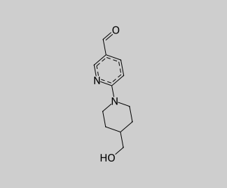 O=Cc1ccc(N2CCC(CO)CC2)nc1